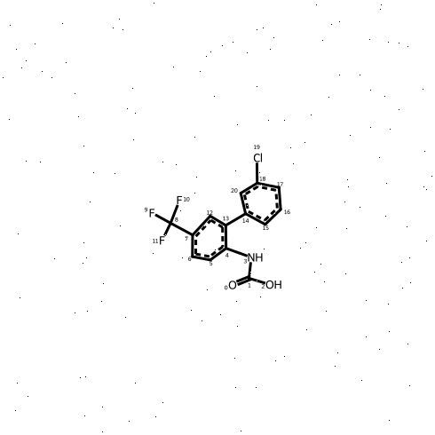 O=C(O)Nc1ccc(C(F)(F)F)cc1-c1cccc(Cl)c1